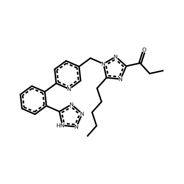 CCCCCc1nc(C(=O)CC)nn1Cc1ccc(-c2ccccc2-c2nnn[nH]2)nc1